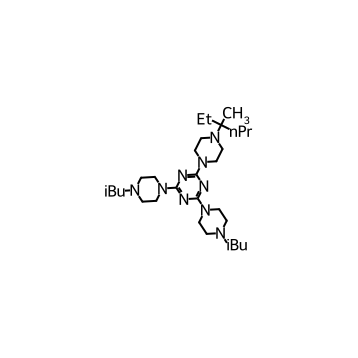 CCCC(C)(CC)N1CCN(c2nc(N3CCN(C(C)CC)CC3)nc(N3CCN(C(C)CC)CC3)n2)CC1